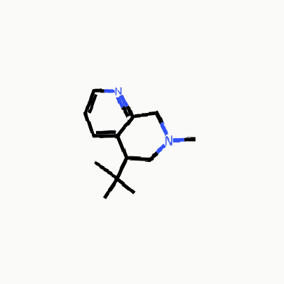 CN1Cc2ncccc2C(C(C)(C)C)C1